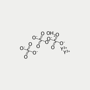 O.O=S(=O)([O-])[O-].O=S(=O)([O-])[O-].O=S(=O)([O-])[O-].[Y+3].[Y+3]